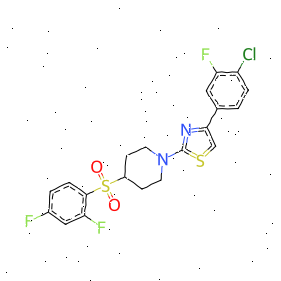 O=S(=O)(c1ccc(F)cc1F)C1CCN(c2nc(-c3ccc(Cl)c(F)c3)cs2)CC1